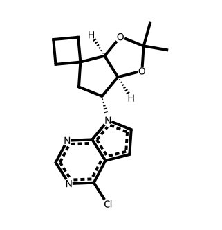 CC1(C)O[C@H]2[C@H](n3ccc4c(Cl)ncnc43)CC3(CCC3)[C@H]2O1